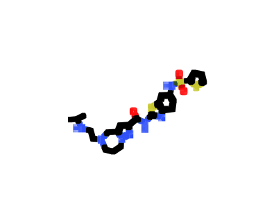 CC(C)NCCN1CCCn2nc(C(=O)Nc3nc4ccc(NS(=O)(=O)c5cccs5)cc4s3)cc2C1